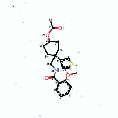 COc1ccccc1C(=O)NCC1(c2ccsc2)CCC(OC(C)=O)CC1